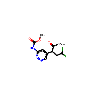 COC(=O)C(CC(F)F)c1cnnc(NC(=O)OC(C)(C)C)c1